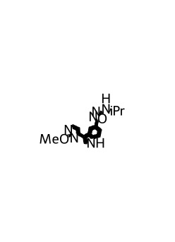 COc1nccc(-c2c[nH]c3ccc(-c4nnc(NC(C)C)o4)cc23)n1